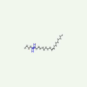 CCCCCCCC/C=C\CCCCCCCCNNCCCC